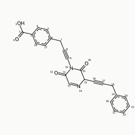 O=C(O)c1ccc(CC#CN2C(=O)C=NC(C#CCc3ccccc3)C2=O)cc1